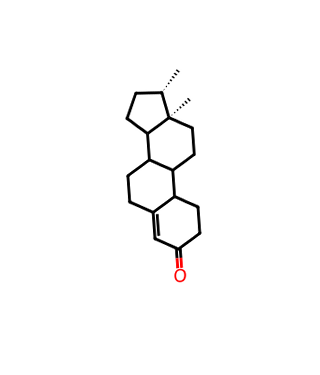 C[C@H]1CCC2C3CCC4=CC(=O)CCC4C3CC[C@@]21C